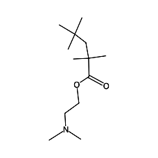 CN(C)CCOC(=O)C(C)(C)CC(C)(C)C